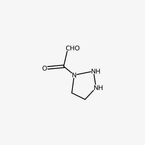 O=CC(=O)N1CCNN1